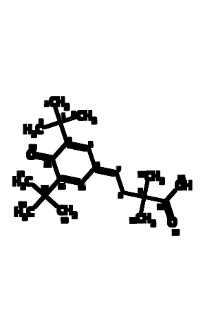 CC(C)(C)C1=CC(=CCC(C)(C)C(=O)O)C=C(C(C)(C)C)C1=O